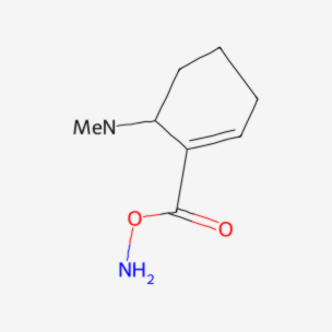 CNC1CCCC=C1C(=O)ON